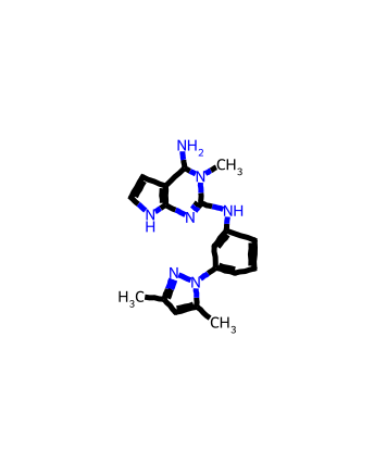 Cc1cc(C)n(-c2cccc(NC3=Nc4[nH]ccc4C(N)N3C)c2)n1